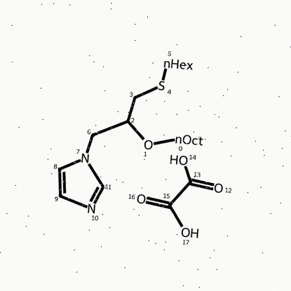 CCCCCCCCOC(CSCCCCCC)Cn1ccnc1.O=C(O)C(=O)O